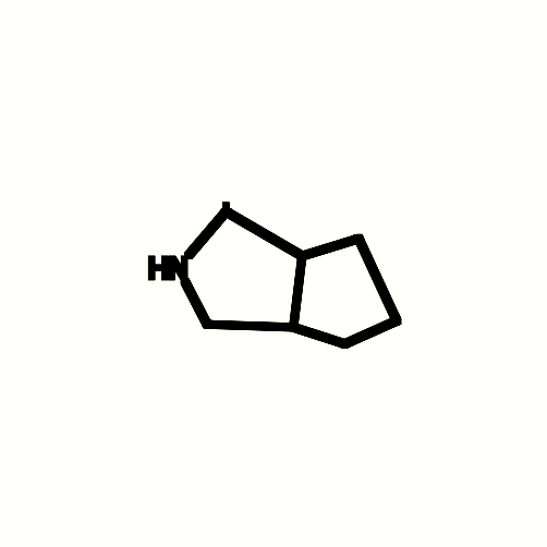 [CH]1NCC2CCCC12